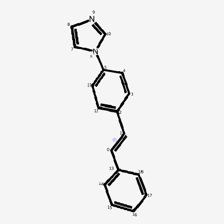 C(=C\c1ccc(-n2ccnc2)cc1)/c1ccccc1